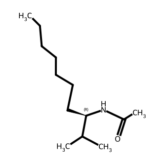 CCCCCCC[C@@H](NC(C)=O)C(C)C